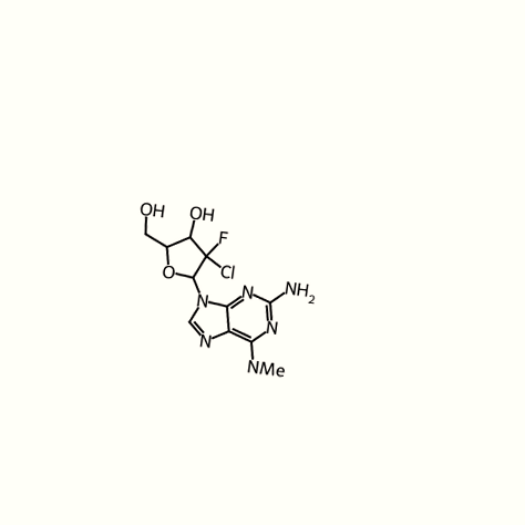 CNc1nc(N)nc2c1ncn2C1OC(CO)C(O)C1(F)Cl